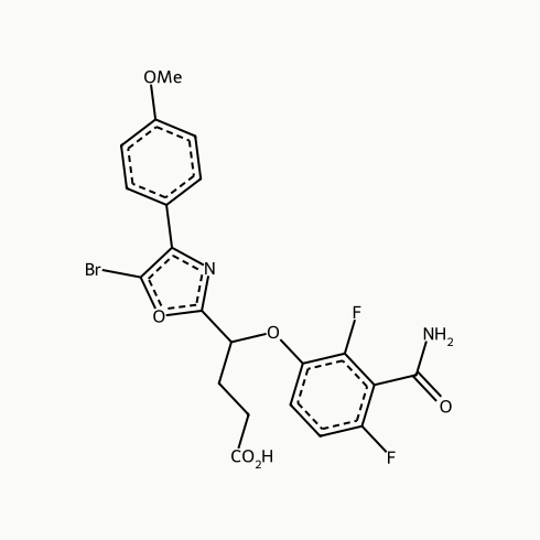 COc1ccc(-c2nc(C(CCC(=O)O)Oc3ccc(F)c(C(N)=O)c3F)oc2Br)cc1